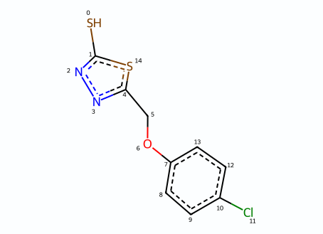 Sc1nnc(COc2ccc(Cl)cc2)s1